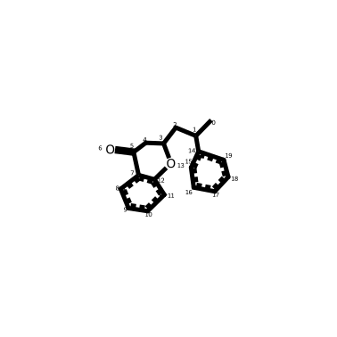 CC(CC1CC(=O)c2ccccc2O1)c1ccccc1